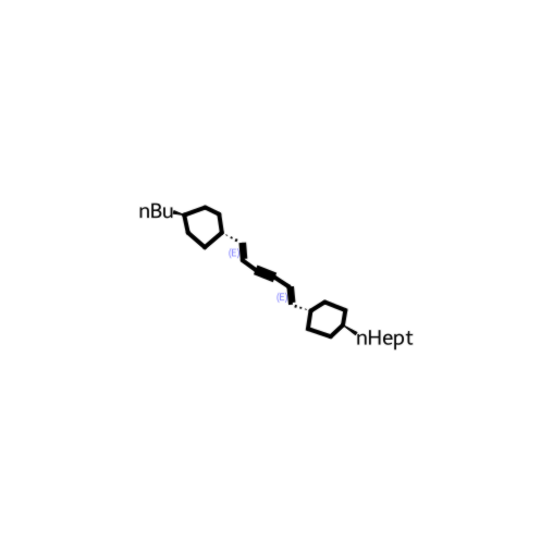 CCCCCCC[C@H]1CC[C@H](/C=C/C#C/C=C/[C@H]2CC[C@H](CCCC)CC2)CC1